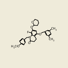 COc1ccc(CN2C(=O)CCc3c(OCc4cc(C)cc(C)c4)cc(OC4CCCCO4)c(F)c32)cc1